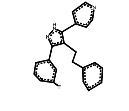 Fc1cccc(-c2n[nH]c(-c3ccncc3)c2CCc2ccccc2)c1